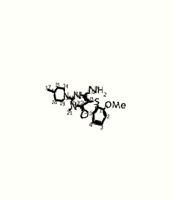 COc1ccccc1Sc1c(N)nc(N2CCC(C)CC2)n(C)c1=O